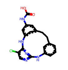 O=C(O)Nc1cc2cc(c1)Nc1nc(ncc1Cl)Nc1cccc(c1)CC2